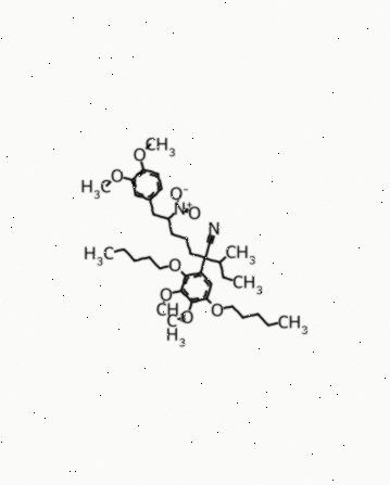 CCCCCOc1cc(C(C#N)(CCCC(Cc2ccc(OC)c(OC)c2)[N+](=O)[O-])C(C)CC)c(OCCCCC)c(OC)c1OC